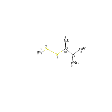 CCCCC(CCC)[C@H](CC)SSC(C)C